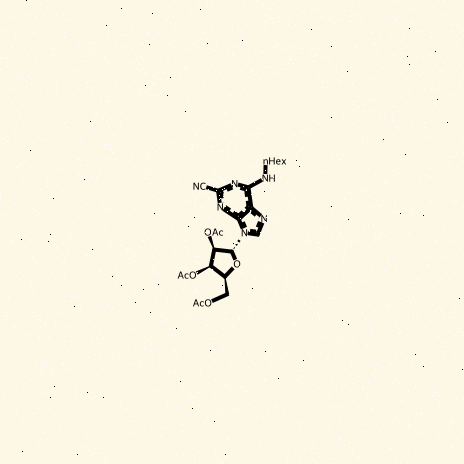 CCCCCCNc1nc(C#N)nc2c1ncn2[C@@H]1O[C@@H](COC(C)=O)[C@@H](OC(C)=O)[C@H]1OC(C)=O